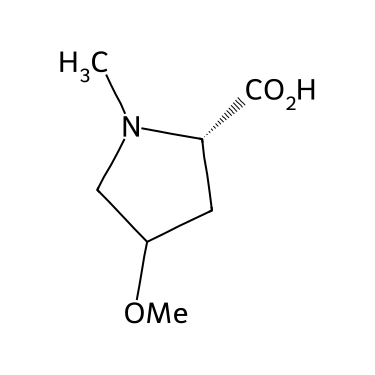 COC1C[C@@H](C(=O)O)N(C)C1